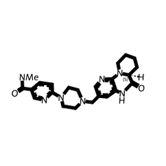 CNC(=O)c1ccc(N2CCN(Cc3cnc4c(c3)NC(=O)[C@@H]3CCCCN43)CC2)nc1